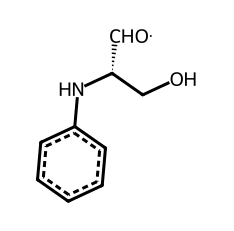 O=[C][C@H](CO)Nc1ccccc1